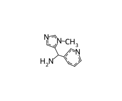 Cn1cncc1C(N)c1cccnc1